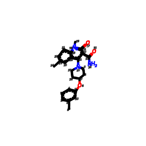 Cc1cccc(OC2CCN(c3c(C(N)=O)c(=O)n(C)c4ccc(C)cc34)CC2)c1